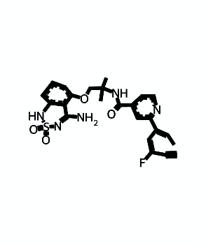 C#C/C(F)=C\C(=C/C)c1cc(C(=O)NC(C)(C)COc2cccc3c2C(N)=NS(=O)(=O)N3)ccn1